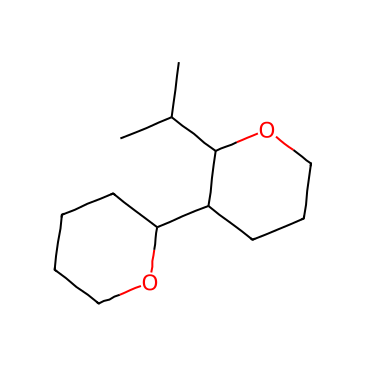 CC(C)C1OCCCC1C1CCCCO1